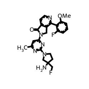 COc1cccc(F)c1-c1nccc2c1CN(c1cc(C)nc(N3CCC(N)(CF)C3)n1)C2=O